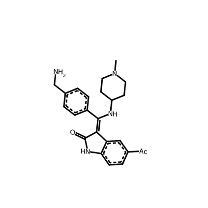 CC(=O)c1ccc2c(c1)C(=C(NC1CCN(C)CC1)c1ccc(CN)cc1)C(=O)N2